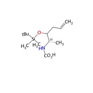 C=CCC(O[Si](C)(C)C(C)(C)C)[C@H](C)NC(=O)O